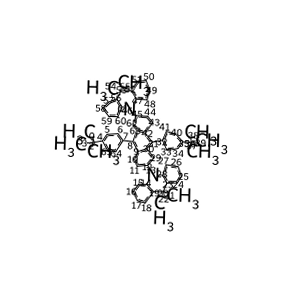 CC(C)(C)c1ccc(-c2c3ccc(N4c5ccccc5C(C)(C)c5ccccc54)cc3c(-c3ccc(C(C)(C)C)cc3)c3ccc(N4c5ccccc5C(C)(C)c5ccccc54)cc23)cc1